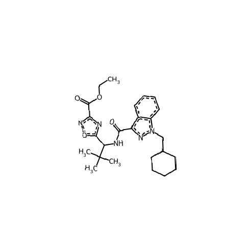 CCOC(=O)c1noc(C(NC(=O)c2nn(CC3CCCCC3)c3ccccc23)C(C)(C)C)n1